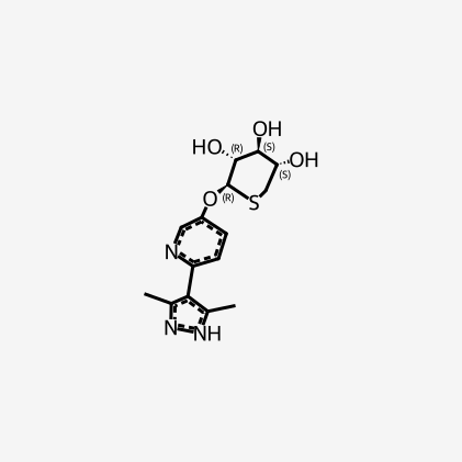 Cc1n[nH]c(C)c1-c1ccc(O[C@@H]2SC[C@@H](O)[C@H](O)[C@H]2O)cn1